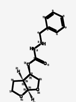 O=C(NNCc1ccccc1)O[C@H]1CO[C@H]2OCC[C@H]21